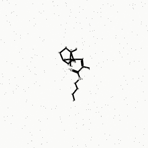 CCCCOC(=O)C(C)=CC1CC2CCC1(C)C2(C)C